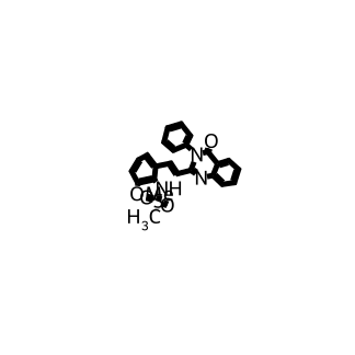 COc1cccc(/C=C/c2nc3ccccc3c(=O)n2-c2ccccc2)c1NS(C)(=O)=O